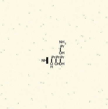 C=C.CC(C)O.CC(C)O.CC(C)O.CC(C)O.N.N